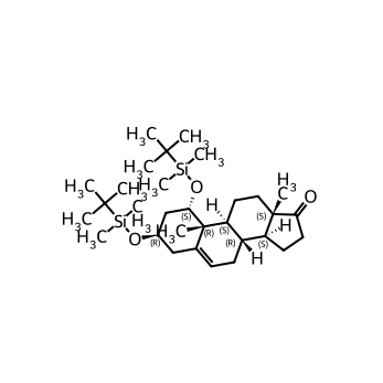 CC(C)(C)[Si](C)(C)O[C@@H]1CC2=CC[C@@H]3[C@H](CC[C@]4(C)C(=O)CC[C@@H]34)[C@@]2(C)[C@@H](O[Si](C)(C)C(C)(C)C)C1